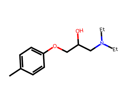 CCN(CC)CC(O)COc1ccc(C)cc1